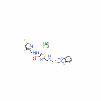 Cl.Cl.O=C(NCc1ncc(F)cc1F)c1csc(CNCCCc2nc3ccccc3[nH]2)n1